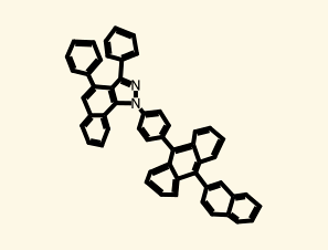 c1ccc(-c2cc3ccccc3c3c2c(-c2ccccc2)nn3-c2ccc(-c3c4ccccc4c(-c4ccc5ccccc5c4)c4ccccc34)cc2)cc1